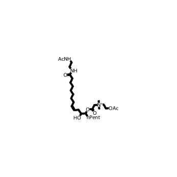 CCCCCC(OC(=O)C[N+](C)(C)CCOC(C)=O)C(O)C/C=C\CCCCCCCC(=O)NCCNC(C)=O